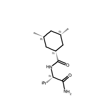 CC(C)[C@H](NC(=O)[C@@H]1C[C@H](C)C[C@H](C)C1)C(N)=O